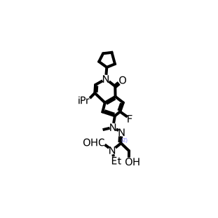 CCN(C=O)/C(CO)=N\N(C)c1cc2c(C(C)C)cn(C3CCCC3)c(=O)c2cc1F